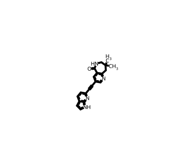 CC1(C)CNC(=O)c2cc(C#Cc3ccc4cc[nH]c4n3)cnc2C1